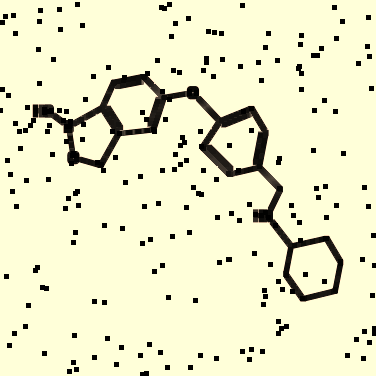 OB1OCc2cc(Oc3ccc(CNC4CCCCC4)cc3)ccc21